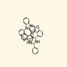 C1=CC2Oc3cccc(C4NC(c5ccccc5)NC(c5ccccc5)N4)c3C2C(c2cccc3sc4cccc(-n5c6ccccc6c6ccccc65)c4c23)=C1